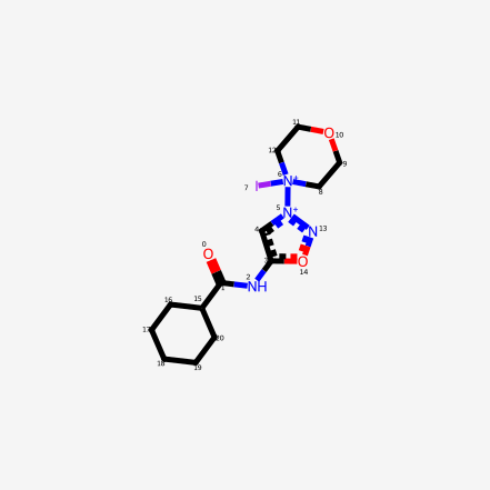 O=C(Nc1c[n+]([N+]2(I)CCOCC2)no1)C1CCCCC1